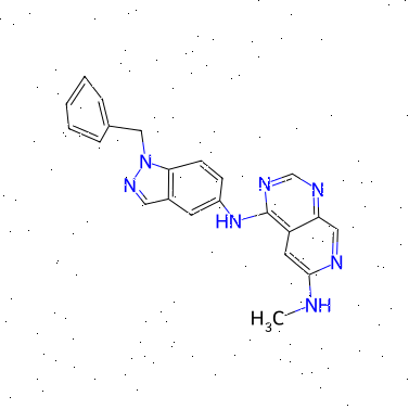 CNc1cc2c(Nc3ccc4c(cnn4Cc4ccccc4)c3)ncnc2cn1